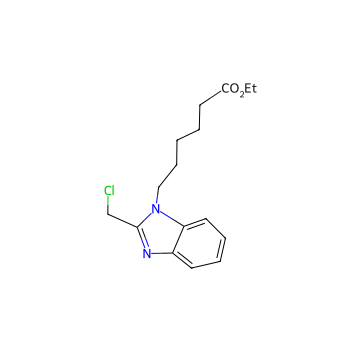 CCOC(=O)CCCCCn1c(CCl)nc2ccccc21